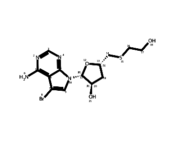 Nc1ncnc2c1c(Br)cn2[C@@H]1O[C@H](CSCCO)C[C@H]1O